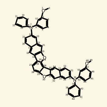 COc1cccc(N(c2ccccc2)c2ccc3cc4c(cc3c2)oc2c4ccc3oc4cc5cc(N(c6ccccc6)c6cccc(OC)c6)ccc5cc4c32)c1